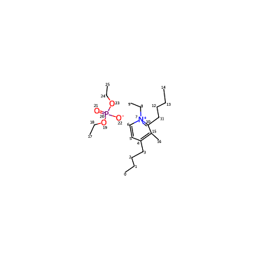 CCCCc1cc[n+](CC)c(CCCC)c1C.CCOP(=O)([O-])OCC